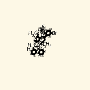 CC(C)c1ncccc1-c1c(CC(C)(C)CO[Si](c2ccccc2)(c2ccccc2)C(C)(C)C)c2cc(Br)ccc2n1CC(F)(F)F